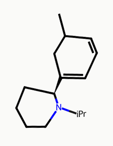 CC1C=CC=C([C@@H]2CCCCN2C(C)C)C1